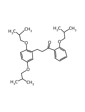 CC(C)COc1ccc(OCC(C)C)c(CCC(=O)c2ccccc2OCC(C)C)c1